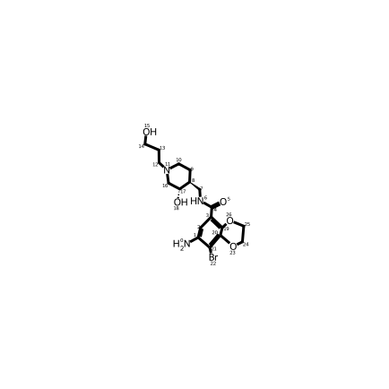 Nc1cc(C(=O)NC[C@@H]2CCN(CCCO)C[C@H]2O)c2c(c1Br)OCCO2